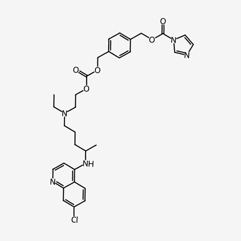 CCN(CCCC(C)Nc1ccnc2cc(Cl)ccc12)CCOC(=O)OCc1ccc(COC(=O)n2ccnc2)cc1